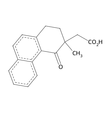 CC1(CC(=O)O)CCc2ccc3ccccc3c2C1=O